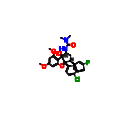 COc1cc(OC)c2c(c1)O[C@@]1(c3ccc(Cl)cc3)[C@H](c3cccc(F)c3)C[C@H](NC(=O)N(C)C)[C@@]21O